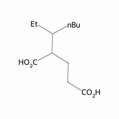 CCCCC(CC)C(CCC(=O)O)C(=O)O